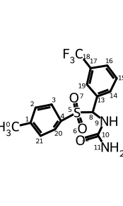 Cc1ccc(S(=O)(=O)C(NC(N)=O)c2cccc(C(F)(F)F)c2)cc1